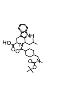 CC(C)CC1c2[nH]c3ccccc3c2CC(C(=O)O)N1C(=O)C1CCC(CN(C)C(=O)OC(C)(C)C)CC1